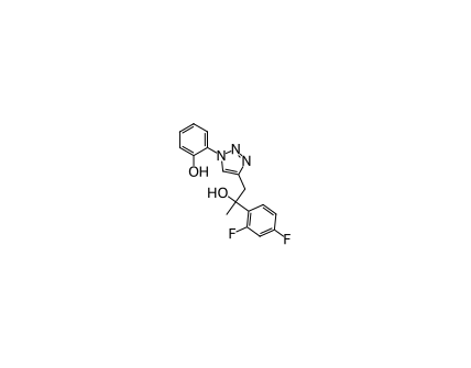 CC(O)(Cc1cn(-c2ccccc2O)nn1)c1ccc(F)cc1F